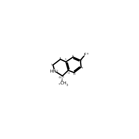 C[C@@H]1NCCc2cc(F)ccc21